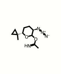 CC(=N)OC1O[C@H](C2(C)CC2)CC[C@H]1N=[N+]=[N-]